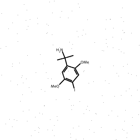 COc1cc(C(C)(C)N)c(OC)cc1I